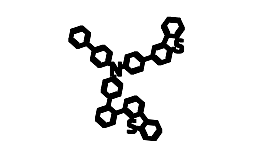 c1ccc(-c2ccc(N(c3ccc(-c4ccc5sc6ccccc6c5c4)cc3)c3ccc(-c4ccccc4-c4cccc5c4sc4ccccc45)cc3)cc2)cc1